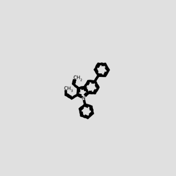 C=Cc1c(/C=C\C)n(-c2ccccc2)c2ccc(-c3ccccc3)cc12